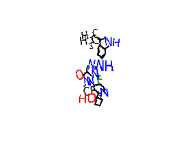 CC1(C)CNCc2cc(Nc3ncc4c(=O)n(CC(F)(F)F)n(-c5cc(C6(O)CCC6)ncc5F)c4n3)ccc21